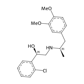 COc1ccc(C[C@@H](C)NC[C@H](O)c2ccccc2Cl)cc1OC